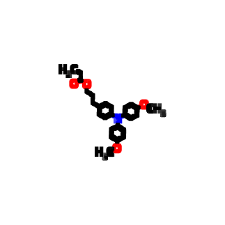 C=CC(=O)OCCCc1ccc(N(c2ccc(OC)cc2)c2ccc(OC)cc2)cc1